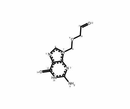 Nc1nc2c(ncn2COCC=O)c(=O)[nH]1